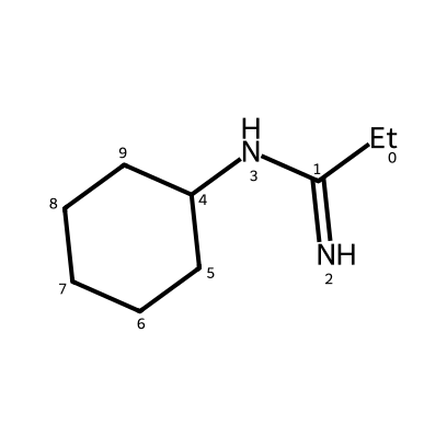 CCC(=N)NC1CCCCC1